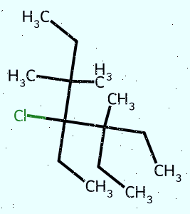 CCC(C)(C)C(Cl)(CC)C(C)(CC)CC